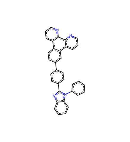 c1ccc(-n2c(-c3ccc(-c4ccc5c(c4)c4cccnc4c4ncccc54)cc3)nc3ccccc32)cc1